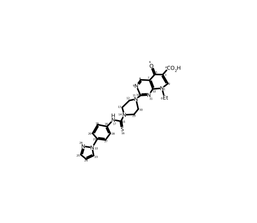 CCn1cc(C(=O)O)c(=O)c2cnc(N3CCN(C(=S)Nc4ccc(-n5cccn5)cc4)CC3)nc21